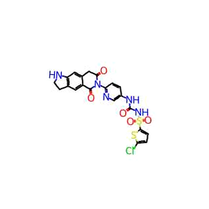 O=C(Nc1ccc(N2C(=O)Cc3cc4c(cc3C2=O)CCN4)nc1)NS(=O)(=O)c1ccc(Cl)s1